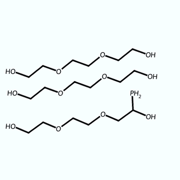 OCCOCCOCC(O)P.OCCOCCOCCO.OCCOCCOCCO